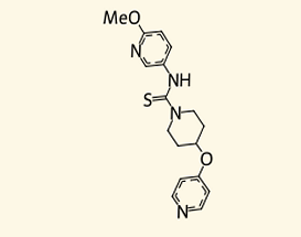 COc1ccc(NC(=S)N2CCC(Oc3ccncc3)CC2)cn1